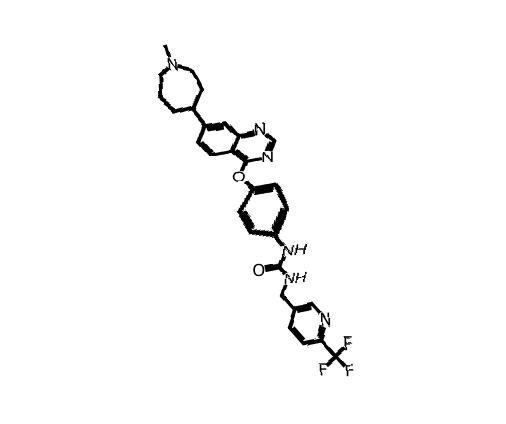 CN1CCCC(c2ccc3c(Oc4ccc(NC(=O)NCc5ccc(C(F)(F)F)nc5)cc4)ncnc3c2)CC1